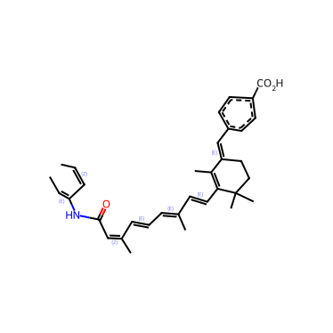 C/C=C\C(=C/C)NC(=O)\C=C(C)/C=C/C=C(C)/C=C/C1=C(C)C(=C/c2ccc(C(=O)O)cc2)/CCC1(C)C